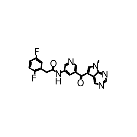 Cn1cc(C(=O)c2cncc(NC(=O)Cc3cc(F)ccc3F)c2)c2cncnc21